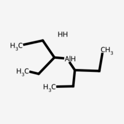 CC[CH](CC)[AlH][CH](CC)CC.[HH]